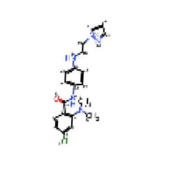 CN(C)c1cc(Cl)ccc1C(=O)Nc1ccc(NCCn2cccn2)cc1